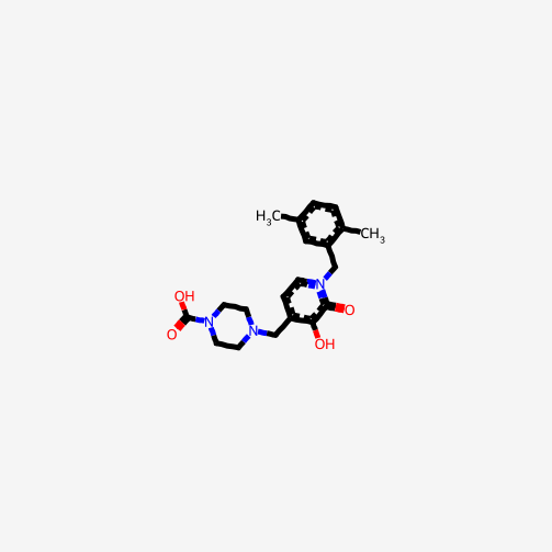 Cc1ccc(C)c(Cn2ccc(CN3CCN(C(=O)O)CC3)c(O)c2=O)c1